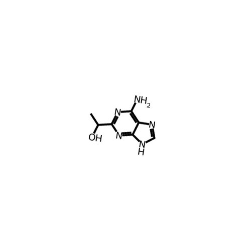 CC(O)c1nc(N)c2nc[nH]c2n1